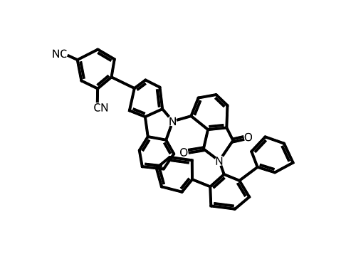 N#Cc1ccc(-c2ccc3c(c2)c2ccccc2n3-c2cccc3c2C(=O)N(c2c(-c4ccccc4)cccc2-c2ccccc2)C3=O)c(C#N)c1